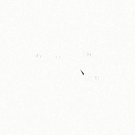 CC(C)OC[C@@H](O)C(=O)O